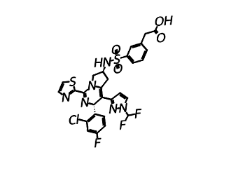 O=C(O)Cc1cccc(S(=O)(=O)N[C@H]2CC3=C(c4ccn(C(F)F)n4)[C@H](c4ccc(F)cc4Cl)N=C(c4nccs4)N3C2)c1